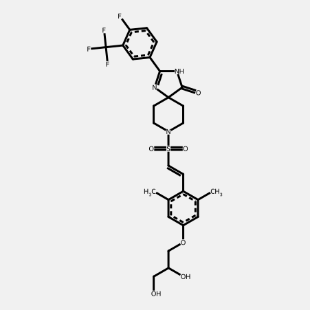 Cc1cc(OCC(O)CO)cc(C)c1C=CS(=O)(=O)N1CCC2(CC1)N=C(c1ccc(F)c(C(F)(F)F)c1)NC2=O